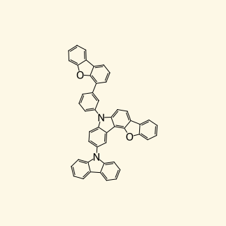 c1cc(-c2cccc3c2oc2ccccc23)cc(-n2c3ccc(-n4c5ccccc5c5ccccc54)cc3c3c4oc5ccccc5c4ccc32)c1